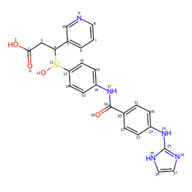 O=C(O)CC(c1cccnc1)[S+]([O-])c1ccc(NC(=O)c2ccc(Nc3ncc[nH]3)cc2)cc1